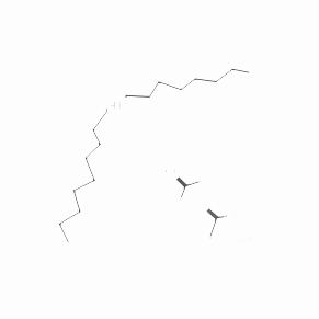 CCCCCCC[CH2][Sn+2][CH2]CCCCCCC.O=C([O-])[O-].O=C([O-])[O-].[Ca+2]